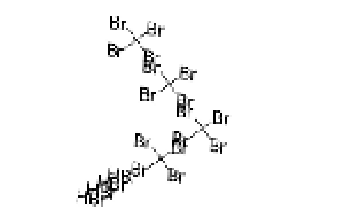 Br.Br.Br.Br.BrC(Br)(Br)Br.BrC(Br)(Br)Br.BrC(Br)(Br)Br.BrC(Br)(Br)Br